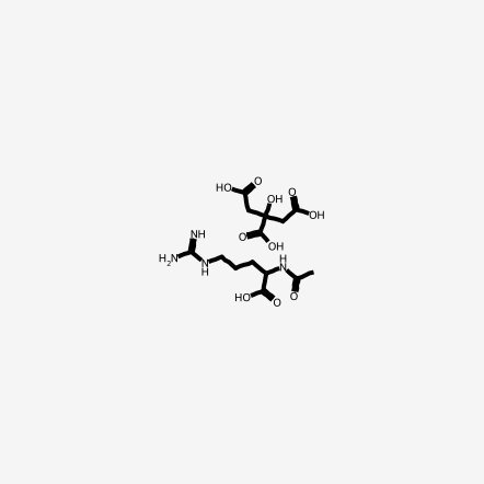 CC(=O)NC(CCCNC(=N)N)C(=O)O.O=C(O)CC(O)(CC(=O)O)C(=O)O